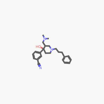 CN(C)CC1CN(CCCc2ccccc2)CCC1(O)c1cccc(C#N)c1